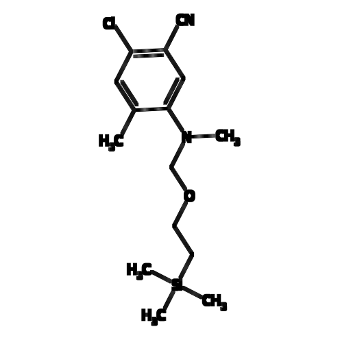 Cc1cc(Cl)c(C#N)cc1N(C)COCC[Si](C)(C)C